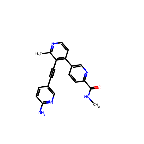 CNC(=O)c1ccc(-c2ccnc(C)c2C#Cc2ccc(N)nc2)cn1